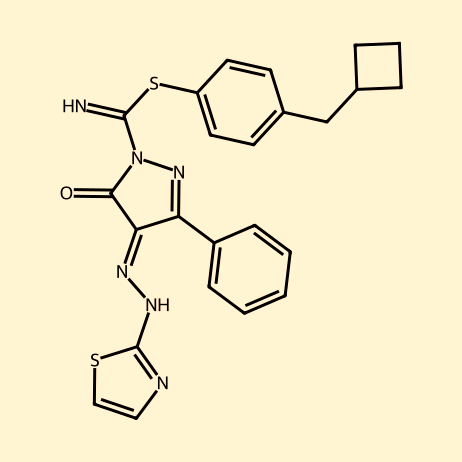 N=C(Sc1ccc(CC2CCC2)cc1)N1N=C(c2ccccc2)/C(=N\Nc2nccs2)C1=O